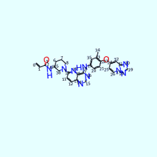 C=CC(=O)N[C@@H]1CCCN(c2ccc3ncnc(Nc4ccc(Oc5ccn6ncnc6c5)c(C)c4)c3n2)C1